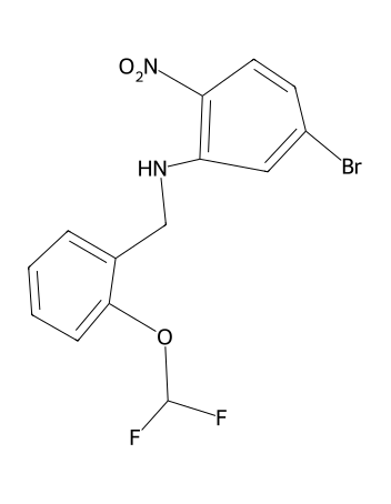 O=[N+]([O-])c1ccc(Br)cc1NCc1ccccc1OC(F)F